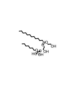 CCCCCCCCCCCCN(OCCO)OCCO.CCCCCCCOP(=O)(O)O